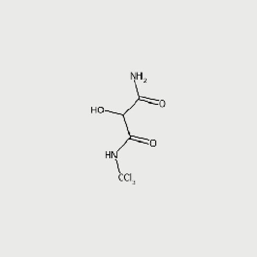 NC(=O)C(O)C(=O)NC(Cl)(Cl)Cl